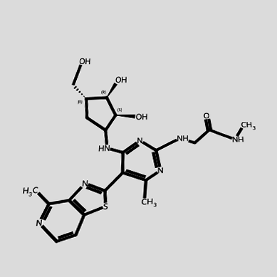 CNC(=O)CNc1nc(C)c(-c2nc3c(C)nccc3s2)c(NC2C[C@H](CO)[C@@H](O)[C@H]2O)n1